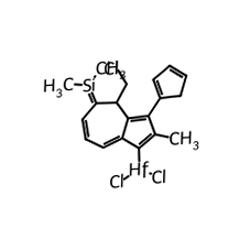 CC1=[C]([Hf]([Cl])[Cl])C2=CC=CC(=[Si](C)C)C(CCl)C2=C1C1=CC=CC1